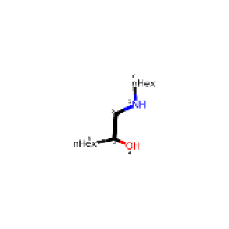 CCCCCCNCC(O)CCCCCC